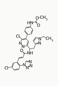 CCn1ccc(CC(NC(=O)C=Cc2cc(Cl)ccc2-n2cnnn2)c2cc(-c3ccc(NC(=O)OC)cc3)c(Cl)nn2)n1